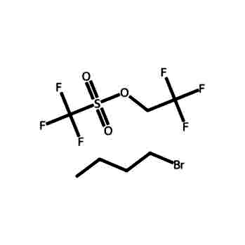 CCCCBr.O=S(=O)(OCC(F)(F)F)C(F)(F)F